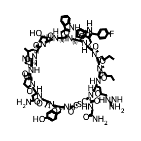 CCCC[C@H]1C(=O)N(C)[C@@H](CCCC)C(=O)NC(CCCNC(=N)N)C(=O)N[C@H](C(=O)NCC(N)=O)CSCC(=O)N[C@@H](Cc2ccc(O)cc2)C(=O)N(C)[C@@H](C)C(=O)NC(CC(N)=O)C(=O)N2CCC[C@H]2C(=O)N[C@@H](CN)C(=O)N[C@@H](CC(C)C)C(=O)N2C[C@H](O)C[C@H]2C(=O)N[C@@H](Cc2c[nH]c3ccccc23)C(=O)N[C@@H](CO)C(=O)N[C@@H](Cc2c(-c3ccc(F)cc3)[nH]c3ccccc23)C(=O)N1C